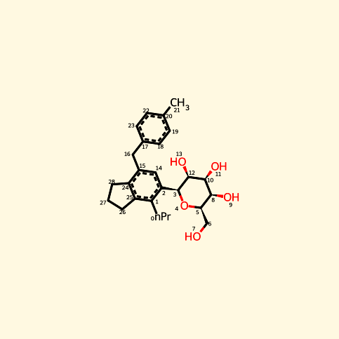 CCCc1c([C@@H]2O[C@H](CO)[C@H](O)[C@H](O)[C@@H]2O)cc(Cc2ccc(C)cc2)c2c1CCC2